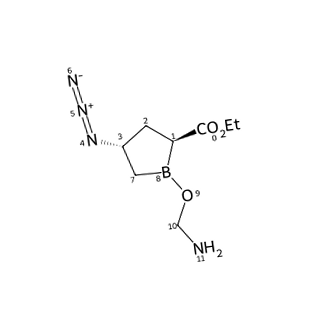 CCOC(=O)[C@@H]1C[C@@H](N=[N+]=[N-])CB1OCN